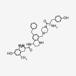 Cc1cc(O)cc(C)c1CC(N)C(=O)NC1CCNc2c(CN3CCN(C(=O)[C@@H](N)Cc4ccc(O)cc4)CC3)cc(Cc3ccccc3)cc21